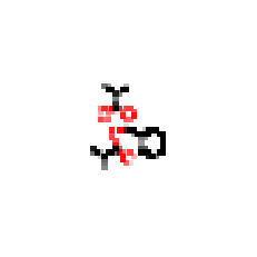 CC(C)C(=O)OC(OC(=O)C(C)C)c1ccccc1